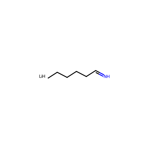 CCCCCC=N.[LiH]